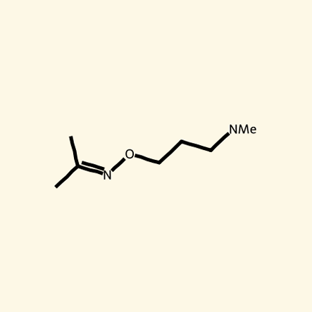 CNCCCON=C(C)C